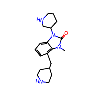 Cn1c(=O)n(C2CCCNC2)c2cccc(CC3CCNCC3)c21